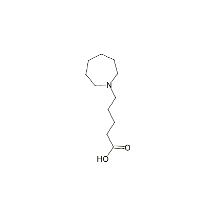 O=C(O)CCCCN1CCCCCC1